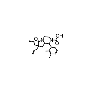 C=CCC1(CC=C)CC2C(c3cccc(C)c3C)N(C(=O)O)CCN2C1=O